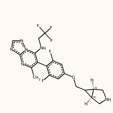 Cc1nc2ncnn2c(NCC(F)(F)F)c1-c1c(F)cc(OCC2[C@H]3CNC[C@@H]23)cc1F